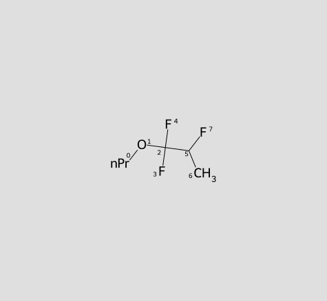 [CH2]CCOC(F)(F)C(C)F